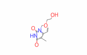 C=Cc1c(C)c(=O)[nH]c(=O)n1COCCO